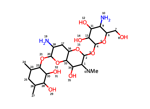 CNC1C(OC2OC(CO)C(N)C(O)C2O)OC2CC(N)C(OC3C(C)CC(C)C(O)C3O)OC2C1O